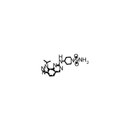 CC(C)n1nnc2ccc3cnc(NC4CCN(S(N)(=O)=O)CC4)nc3c21